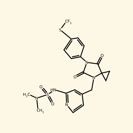 CN(C)S(=O)(=O)Nc1cc(CN2C(=O)N(c3ccc(SC(F)(F)F)cc3)C(=O)C23CC3)ccn1